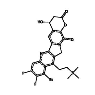 CCc1c(F)c(F)cc2nc3c(c(CC[Si](C)(C)C)c12)Cn1c-3cc2c(c1=O)OC(=O)C[C@H]2O